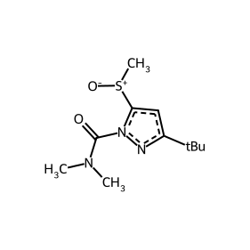 CN(C)C(=O)n1nc(C(C)(C)C)cc1[S+](C)[O-]